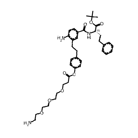 CC(C)(C)OC(=O)[C@H](CCc1ccccc1)NC(=O)c1ccc(N)c(CCc2ccc(OC(=O)CCOCCOCCOCCN)cc2)c1